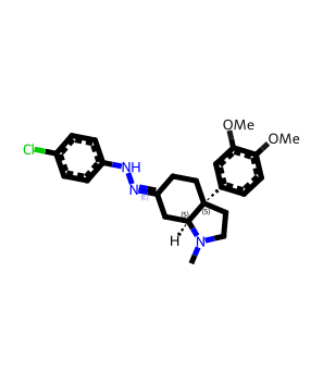 COc1ccc([C@@]23CC/C(=N\Nc4ccc(Cl)cc4)C[C@@H]2N(C)CC3)cc1OC